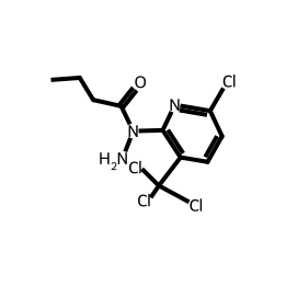 CCCC(=O)N(N)c1nc(Cl)ccc1C(Cl)(Cl)Cl